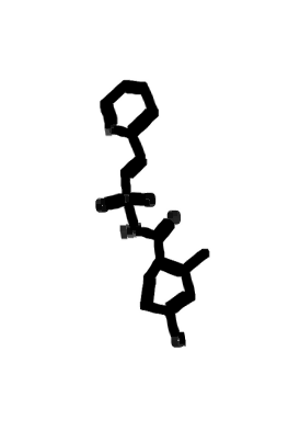 Cc1cc(Cl)ccc1C(=O)NS(=O)(=O)C=Cc1ccccn1